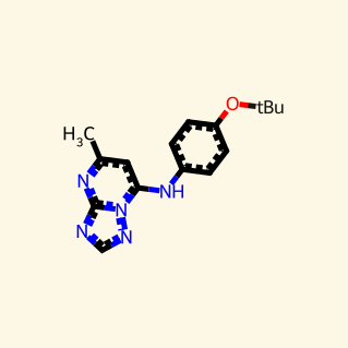 Cc1cc(Nc2ccc(OC(C)(C)C)cc2)n2ncnc2n1